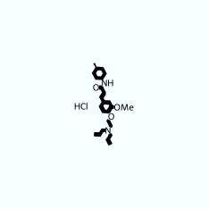 C=CCN(CC=C)CCOc1ccc(C=CC(=O)N[C@H]2CC[C@H](C)CC2)cc1OC.Cl